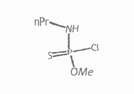 CCCNP(=S)(Cl)OC